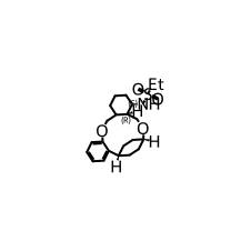 CCS(=O)(=O)N[C@H]1CCCC2COc3ccccc3[C@H]3CC[C@H](CC3)OC[C@H]21